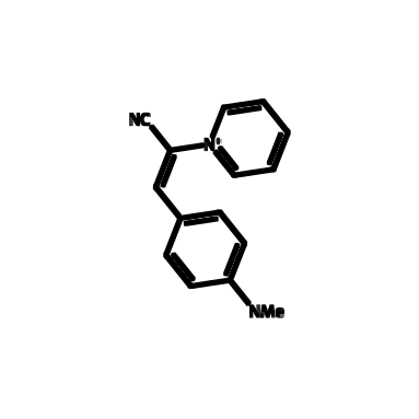 CNc1ccc(C=C(C#N)[n+]2ccccc2)cc1